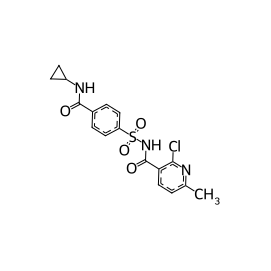 Cc1ccc(C(=O)NS(=O)(=O)c2ccc(C(=O)NC3CC3)cc2)c(Cl)n1